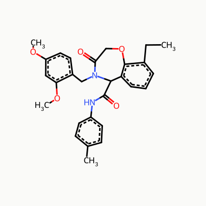 CCc1cccc2c1OCC(=O)N(Cc1ccc(OC)cc1OC)C2C(=O)Nc1ccc(C)cc1